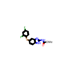 COC(=O)Nc1nc2cc(Sc3ccc(F)cc3F)ccc2[nH]1